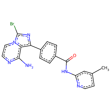 Cc1ccnc(NC(=O)c2ccc(-c3nc(Br)n4ccnc(N)c34)cc2)c1